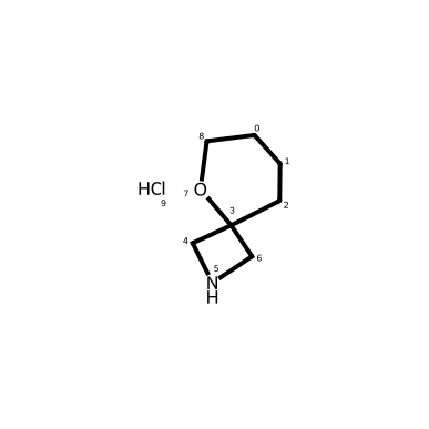 C1CCC2(CNC2)OC1.Cl